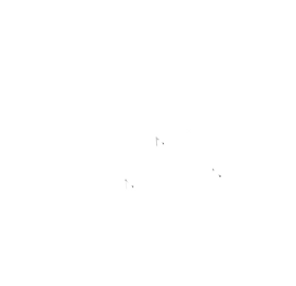 Cc1nc2cnccn2c1I